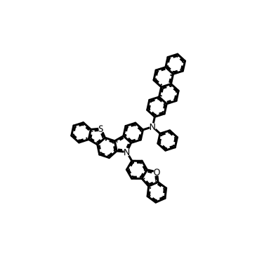 c1ccc(N(c2ccc3c(ccc4c5ccccc5ccc34)c2)c2ccc3c4c5sc6ccccc6c5ccc4n(-c4ccc5c(c4)oc4ccccc45)c3c2)cc1